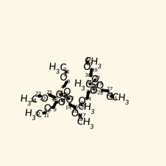 CCOCCO[Si](OCCOCC)(OCCOCC)OCCOCC.COCCO[Si](C)(OCCOC)OCCOC